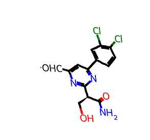 NC(=O)[C@@H](CO)c1nc([C]=O)cc(-c2ccc(Cl)c(Cl)c2)n1